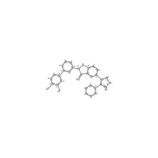 O=C1c2cc(-c3nn[nH]c3-c3ccccc3)ccc2CN1c1cccc(-c2ccc(F)c(F)c2)c1